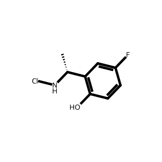 C[C@@H](NCl)c1cc(F)ccc1O